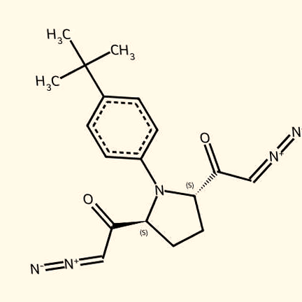 CC(C)(C)c1ccc(N2[C@H](C(=O)C=[N+]=[N-])CC[C@H]2C(=O)C=[N+]=[N-])cc1